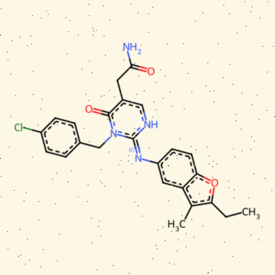 CCc1oc2ccc(/N=c3\[nH]cc(CC(N)=O)c(=O)n3Cc3ccc(Cl)cc3)cc2c1C